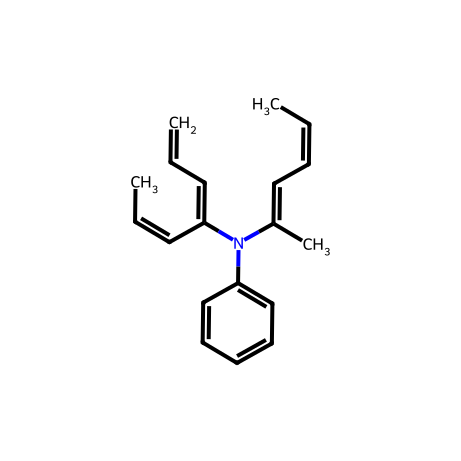 C=C/C=C(\C=C/C)N(/C(C)=C/C=C\C)c1ccccc1